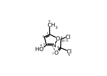 Cc1cc(O)no1.O=C(Cl)CCl